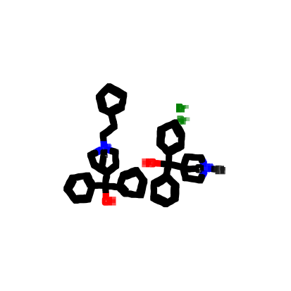 CC[N+]12CCC(C(O)(c3ccccc3)c3ccccc3)(CC1)CC2.OC(c1ccccc1)(c1ccccc1)C12CC[N+](CCc3ccccc3)(CC1)CC2.[Br-].[Br-]